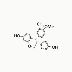 COc1ccc([C@H]2c3ccc(O)cc3OC[C@H]2c2ccc(O)cc2)cc1C